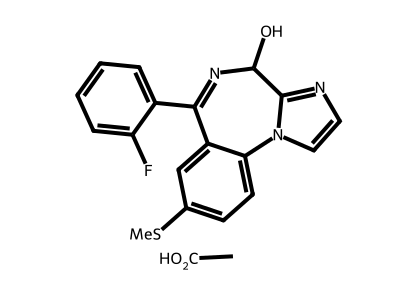 CC(=O)O.CSc1ccc2c(c1)C(c1ccccc1F)=NC(O)c1nccn1-2